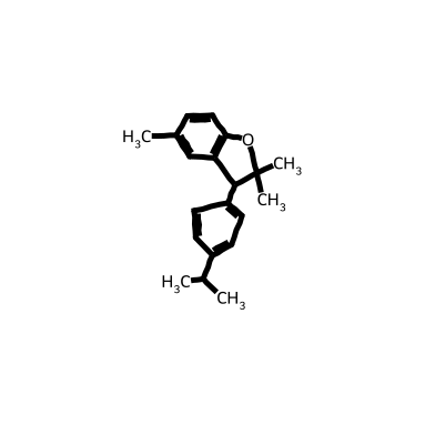 Cc1ccc2c(c1)C(c1ccc(C(C)C)cc1)C(C)(C)O2